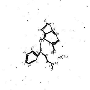 CNCC[C@H](Oc1c(F)ccc2sccc12)c1ccccc1.Cl